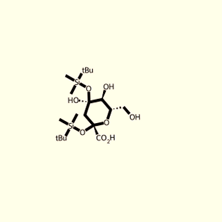 CC(C)(C)[Si](C)(C)O[C@]1(C(=O)O)C[C@@](O)(O[Si](C)(C)C(C)(C)C)[C@@H](O)[C@H](CO)O1